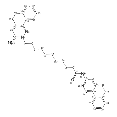 N=c1cc2c(nn1CCCCCCCCCCC(=O)Nc1cc3c(nn1)-c1ccccc1CC3)-c1ccccc1CC2